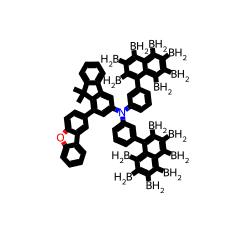 Bc1c(B)c(B)c2c(-c3cccc(N(c4cccc(-c5c(B)c(B)c(B)c6c(B)c(B)c(B)c(B)c56)c4)c4cc(-c5ccc6oc7ccccc7c6c5)c5c(c4)-c4ccccc4C5(C)C)c3)c(B)c(B)c(B)c2c1B